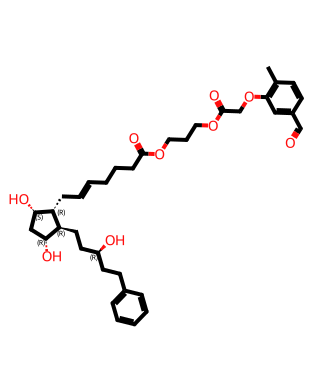 Cc1ccc(C=O)cc1OCC(=O)OCCCOC(=O)CCCC=CC[C@@H]1[C@@H](CC[C@@H](O)CCc2ccccc2)[C@H](O)C[C@@H]1O